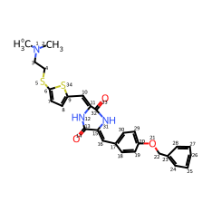 CN(C)CCSc1ccc(/C=c2\[nH]c(=O)/c(=C/c3ccc(OCc4ccccc4)cc3)[nH]c2=O)s1